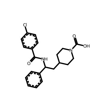 O=C(NC(CC1CCN(C(=O)O)CC1)c1ccccc1)c1ccc(Cl)cc1